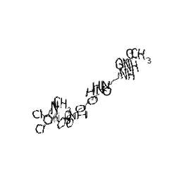 COCCNC(=O)NCCCCNC(=O)NCCOCCOCCNS(=O)(=O)c1cccc([C@@H]2CN(C)Cc3c(Cl)cc(Cl)cc32)c1